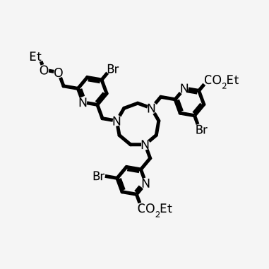 CCOOCc1cc(Br)cc(CN2CCN(Cc3cc(Br)cc(C(=O)OCC)n3)CCN(Cc3cc(Br)cc(C(=O)OCC)n3)CC2)n1